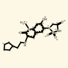 Cn1c(=O)c(NCCC2CCCC2)cc2cc(N3CC(=O)NS3(=O)=O)c(O)cc21